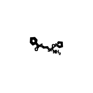 NP(ON1CCCC1)SCCSC(=O)c1ccccc1